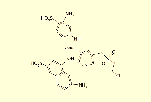 Nc1cc(NC(=O)c2cccc(CS(=O)(=O)CCCl)c2)ccc1S(=O)(=O)O.Nc1ccc2cc(S(=O)(=O)O)cc(O)c2c1